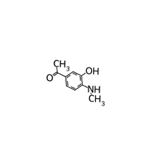 CNc1ccc(C(C)=O)cc1O